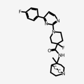 CC1(NC(=O)C2(F)CCN(c3nccc(-c4ccc(F)cc4)n3)CC2)CCN2CCC1CC2